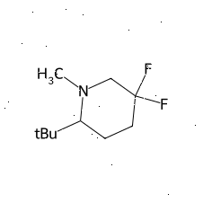 CN1CC(F)(F)CCC1C(C)(C)C